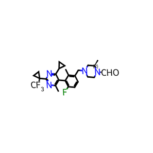 Cc1nc(C2(C(F)(F)F)CC2)nc(C2CC2)c1-c1c(F)ccc(CN2CCN(C=O)[C@H](C)C2)c1C